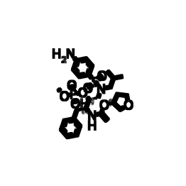 C=C(N[C@@H](Cc1ccccc1)[C@@H](CN(CC(C)C)S(=O)(=O)c1ccc(N)cc1)OP(=O)(O)OC)O[C@H]1CCOC1